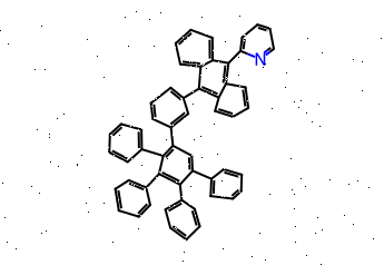 c1ccc(-c2cc(-c3cccc(-c4c5ccccc5c(-c5ccccn5)c5ccccc45)c3)c(-c3ccccc3)c(-c3ccccc3)c2-c2ccccc2)cc1